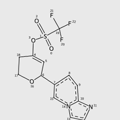 O=S(=O)(OC1=CC(c2ccc3nccn3c2)OCC1)C(F)(F)F